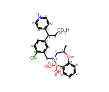 CC1CN(Cc2cc(C(CC(=O)O)c3ccncc3)ccc2Cl)S(O)(O)c2ccccc2O1